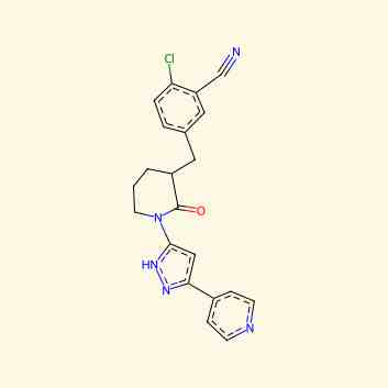 N#Cc1cc(CC2CCCN(c3cc(-c4ccncc4)n[nH]3)C2=O)ccc1Cl